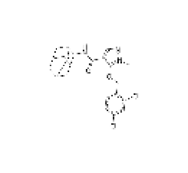 Cn1ncc(C(=O)NC2C3CC4CC(C3)CC2C4)c1OCc1ccc(Cl)cc1Cl